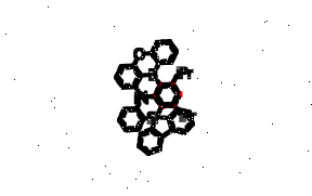 CC(C)c1cc(C(C)C)c(B2c3ccccc3Oc3cccc(N4c5ccccc5[Si]5(c6ccccc6-c6ccccc65)c5ccccc54)c32)c(C(C)C)c1